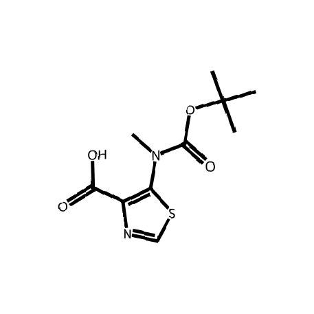 CN(C(=O)OC(C)(C)C)c1scnc1C(=O)O